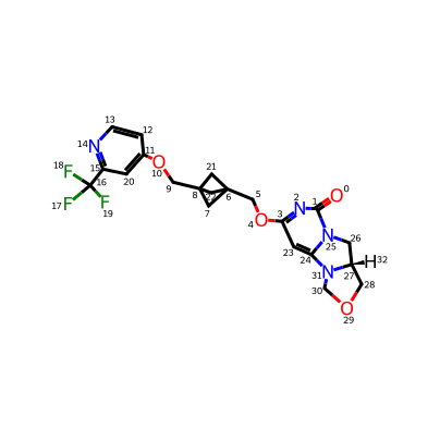 O=c1nc(OCC23CC(COc4ccnc(C(F)(F)F)c4)(C2)C3)cc2n1C[C@@H]1COCN21